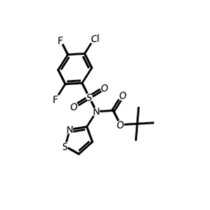 CC(C)(C)OC(=O)N(c1ccsn1)S(=O)(=O)c1cc(Cl)c(F)cc1F